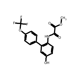 COC(=O)C(=O)Nc1ccc(O)cc1-c1ccc(OC(F)(F)F)cc1